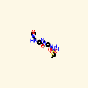 Cc1ccc(S(=O)(=O)NC(=O)Nc2ccc(-n3cnc4cc(NCCN5CCOCC5)ccc4c3=O)c(F)c2)s1